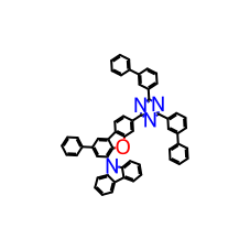 c1ccc(-c2cccc(-c3nc(-c4cccc(-c5ccccc5)c4)nc(-c4ccc5c(c4)oc4c(-n6c7ccccc7c7ccccc76)cc(-c6ccccc6)cc45)n3)c2)cc1